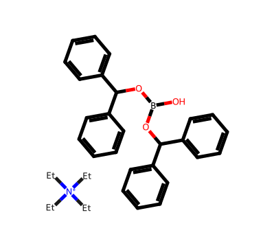 CC[N+](CC)(CC)CC.OB(OC(c1ccccc1)c1ccccc1)OC(c1ccccc1)c1ccccc1